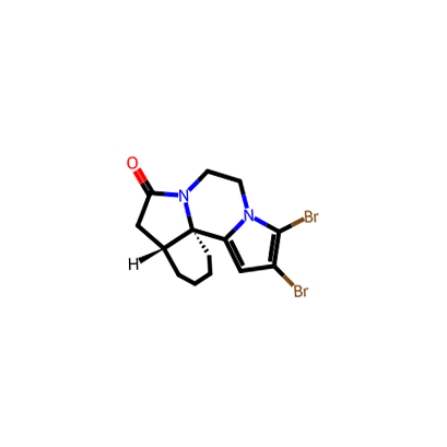 O=C1C[C@H]2CCCC[C@]23c2cc(Br)c(Br)n2CCN13